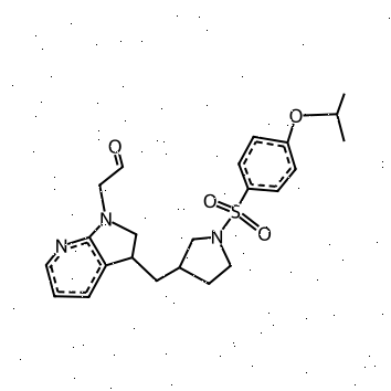 CC(C)Oc1ccc(S(=O)(=O)N2CCC(CC3CN(CC=O)c4ncccc43)C2)cc1